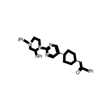 CCCC1CN(C(C)C)CCN1c1ncc([C@H]2CC[C@@H](CC(=O)C(C)C)CC2)cn1